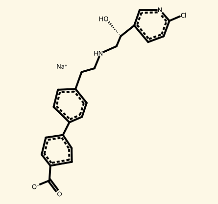 O=C([O-])c1ccc(-c2ccc(CCNC[C@H](O)c3ccc(Cl)nc3)cc2)cc1.[Na+]